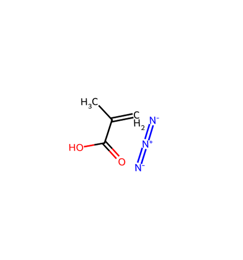 C=C(C)C(=O)O.[N-]=[N+]=[N-]